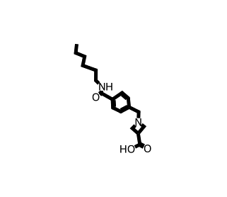 CCCCCCNC(=O)c1ccc(CN2CC(C(=O)O)C2)cc1